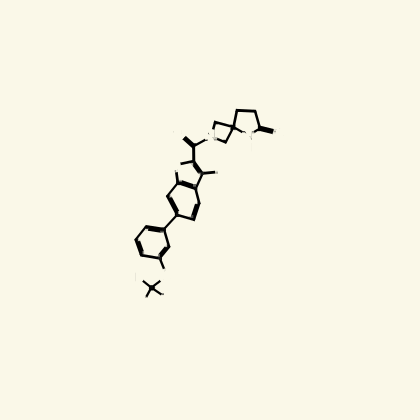 O=C1CCC2(CN(C(=O)c3sc4cc(-c5cccc(OC(F)(F)F)c5)ccc4c3Cl)C2)N1